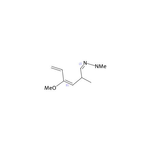 C=C/C(=C\C(C)/C=N\NC)OC